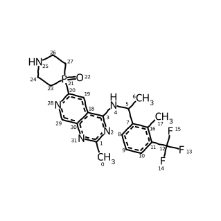 Cc1nc(NC(C)c2cccc(C(F)(F)F)c2C)c2cc(P3(=O)CCNCC3)ncc2n1